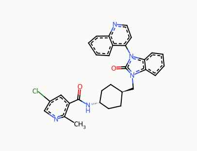 Cc1ncc(Cl)cc1C(=O)N[C@H]1CC[C@H](Cn2c(=O)n(-c3ccnc4ccccc34)c3ccccc32)CC1